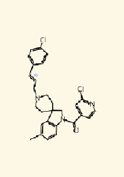 Cc1ccc2c(c1)C1(CCN(C/C=C/c3ccc(Cl)cc3)CC1)CN2C(=O)c1ccnc(Cl)c1